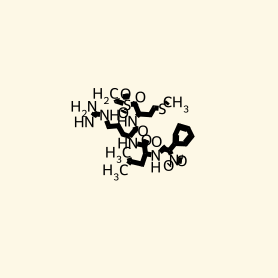 C=CS(=O)(=O)C(=O)C(CCSC)NC(=O)C(CCCNC(=N)N)NC(=O)C(CC(C)C)NC(=O)C(c1ccccc1)[N+](=O)[O-]